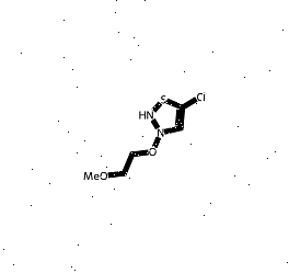 COCCON1C=C(Cl)SN1